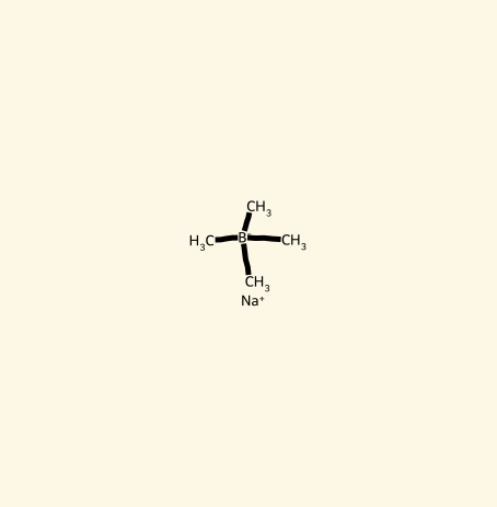 C[B-](C)(C)C.[Na+]